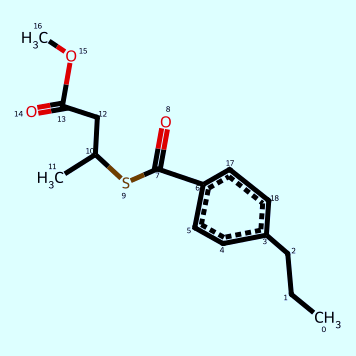 CCCc1ccc(C(=O)SC(C)CC(=O)OC)cc1